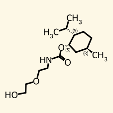 CC(C)[C@@H]1CC[C@@H](C)C[C@@H]1OC(=O)NCCOCCO